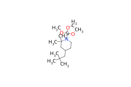 CO[Si](OC)(OC)N1CCC(CC(C)(C)C)CC1(C)C